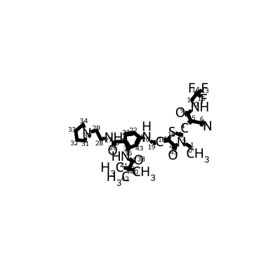 CCn1c(=C=C(C#N)C(=O)NCC(F)(F)F)sc(=C=CNc2ccc(C(=O)NCCN3CCCC3)c(NC(=O)C(C)(C)C)c2)c1=O